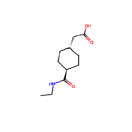 CCNC(=O)[C@H]1CC[C@H](CC(=O)O)CC1